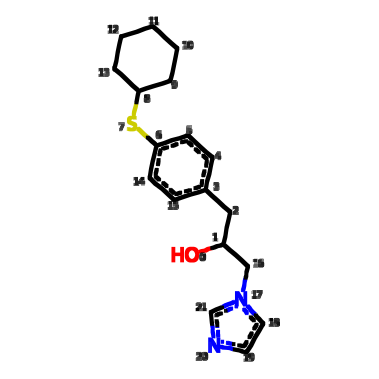 OC(Cc1ccc(SC2CCCCC2)cc1)Cn1ccnc1